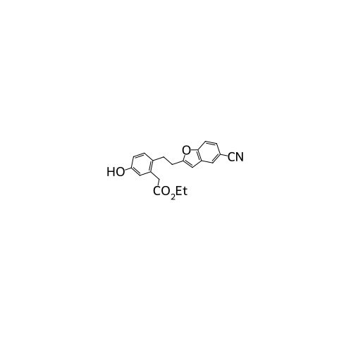 CCOC(=O)Cc1cc(O)ccc1CCc1cc2cc(C#N)ccc2o1